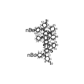 CCCCc1ccc(N(c2ccc(I)cc2)c2cc3c4c(c2)Sc2cc5c(cc2B4c2ccccc2S3)B2c3ccccc3N(c3ccccc3)c3cc(N(c4ccc(I)cc4)c4ccc(CCCC)cc4)cc(c32)N5c2ccccc2)cc1